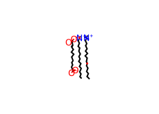 CCCCCCCCCCCCCCCC[N+](C)(C)C.CCCCCCCCCCCCCCCC[N+](C)(C)C.O=C([O-])/C=C/CCCCCCCCC(=O)[O-]